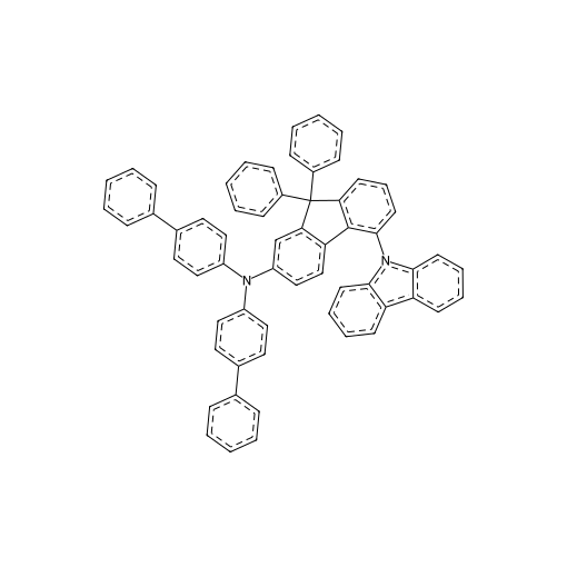 c1ccc(-c2ccc(N(c3ccc(-c4ccccc4)cc3)c3ccc4c(c3)C(c3ccccc3)(c3ccccc3)c3cccc(-n5c6ccccc6c6ccccc65)c3-4)cc2)cc1